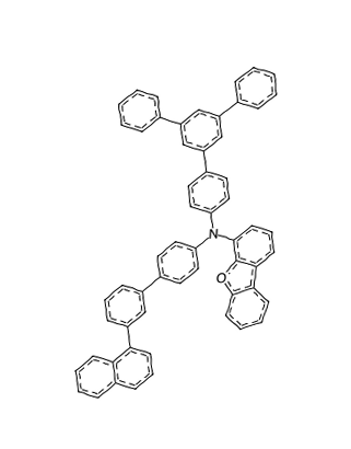 c1ccc(-c2cc(-c3ccccc3)cc(-c3ccc(N(c4ccc(-c5cccc(-c6cccc7ccccc67)c5)cc4)c4cccc5c4oc4ccccc45)cc3)c2)cc1